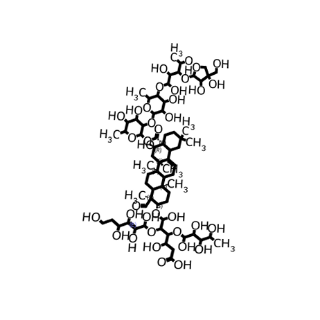 CC(O)C(O)C(O)C(O)OC(C(O)CC(=O)O)C(OC(O)/C(O)=C(\O)C(O)CCO)C(O)O[C@H]1CC[C@@]2(C)C(CC[C@]3(C)C2CC=C2C4CC(C)(C)CC[C@]4(C(=O)OC4OC(C)C(O)C(O)C4OC4OC(C)C(OC(O)C(O)C(OC5OCC(O)(CO)C5O)C(C)O)C(O)C4O)[C@H](O)C[C@]23C)[C@]1(C)C=O